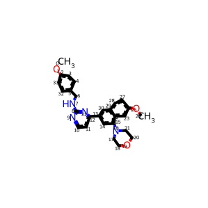 COc1ccc(CNc2nccc(-c3cc(N4CCOCC4)c4cc(OC)ccc4c3)n2)cc1